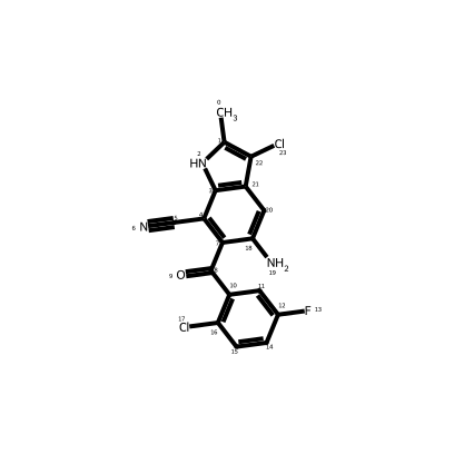 Cc1[nH]c2c(C#N)c(C(=O)c3cc(F)ccc3Cl)c(N)cc2c1Cl